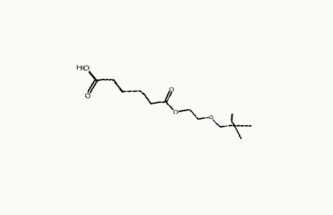 CC(C)(C)COCCOC(=O)CCCCC(=O)O